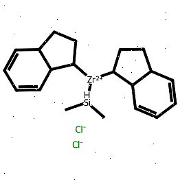 C[SiH](C)[Zr+2]([CH]1CCC2C=CC=CC21)[CH]1CCC2C=CC=CC21.[Cl-].[Cl-]